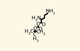 CC(C)(C)OC(=O)OC(=O)[C@H](N)CCCN